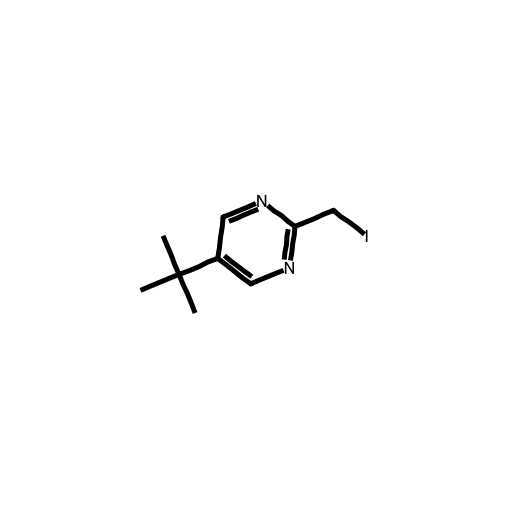 CC(C)(C)c1cnc(CI)nc1